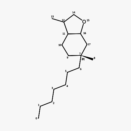 CCCCCCC[C@]1(C)CCC2C(C)COC2C1